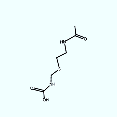 CC(=O)NCCSCNC(=O)O